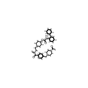 CC(=O)N1CCN(Cc2ccc(C(=O)N(C)CCN3CCC(OC(=O)Nc4ccccc4-c4ccccc4)CC3)nc2)CC1